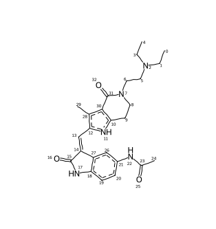 CCN(CC)CCN1CCc2[nH]c(/C=C3/C(=O)Nc4ccc(NC(C)=O)cc43)c(C)c2C1=O